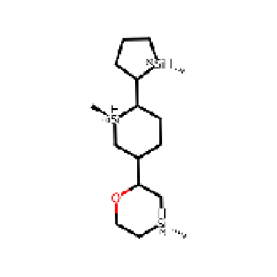 C[Si@@H]1CCOC(C2CCC(C3CCC[Si@@H]3C)[Si@H](C)C2)C1